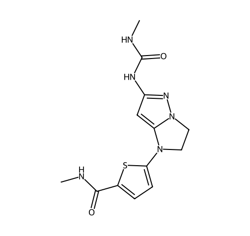 CNC(=O)Nc1cc2n(n1)CCN2c1ccc(C(=O)NC)s1